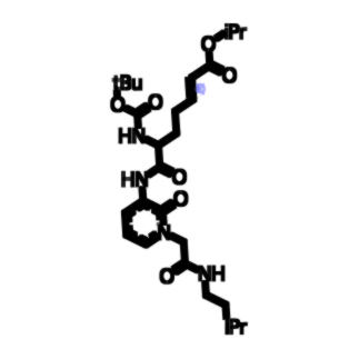 CC(C)CCNC(=O)Cn1cccc(NC(=O)C(CC/C=C/C(=O)OC(C)C)NC(=O)OC(C)(C)C)c1=O